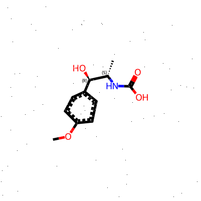 COc1ccc([C@@H](O)[C@H](C)NC(=O)O)cc1